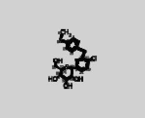 CSc1ccc(Cc2cc([C@@H]3S[C@H](CO)[C@@H](O)[C@H](O)[C@H]3O)ccc2Cl)cc1